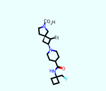 CCC1[C@@H](N2CCC(C(=O)NC3(CF)CCC3)CC2)C[C@]12CCN(C(=O)O)C2